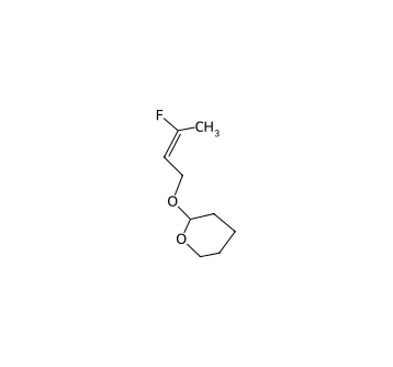 C/C(F)=C\COC1CCCCO1